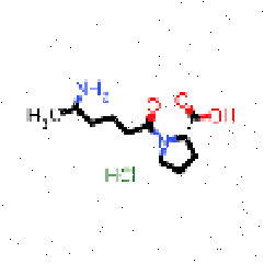 CC(N)CCCC(=O)N1CCC[C@H]1C(=O)O.Cl